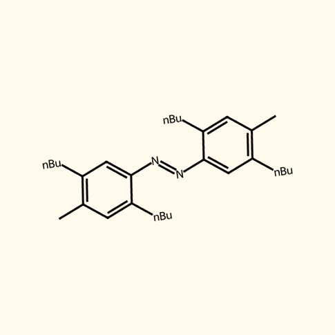 CCCCc1cc(N=Nc2cc(CCCC)c(C)cc2CCCC)c(CCCC)cc1C